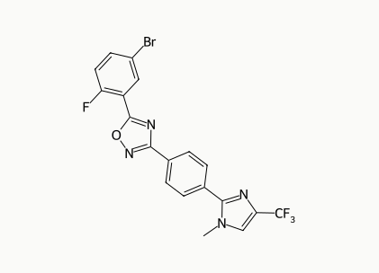 Cn1cc(C(F)(F)F)nc1-c1ccc(-c2noc(-c3cc(Br)ccc3F)n2)cc1